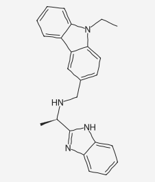 CCn1c2ccccc2c2cc(CN[C@H](C)c3nc4ccccc4[nH]3)ccc21